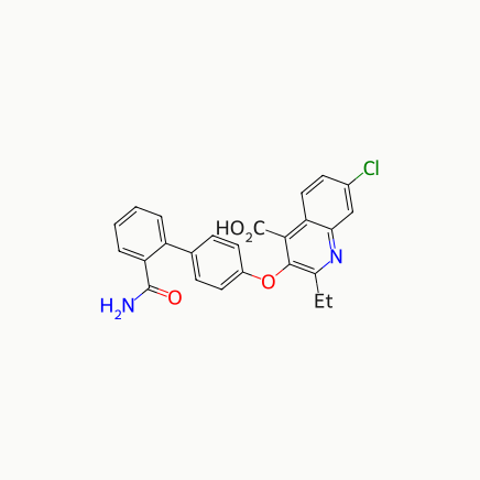 CCc1nc2cc(Cl)ccc2c(C(=O)O)c1Oc1ccc(-c2ccccc2C(N)=O)cc1